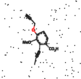 C#CCOc1ccc(C(=O)O)c(C#CC)c1OC